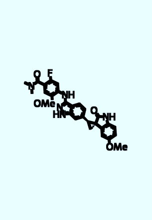 COc1ccc2c(c1)[C@]1(C[C@H]1c1ccc3c(Nc4cc(F)c(C(=O)N(C)C)cc4OC)n[nH]c3c1)C(=O)N2